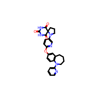 O=C1NC(=O)C2(CCCN2c2ccc(Oc3ccc4c(c3)CCCCN4c3ccccn3)nc2)C(=O)N1